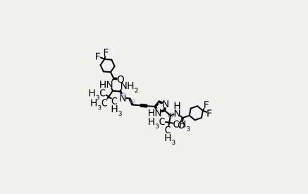 CC(C)(C)C(NC(=O)C1CCC(F)(F)CC1)/C(N)=N/C=C/C#Cc1cnc([C@@H](NC(=O)C2CCC(F)(F)CC2)C(C)(C)C)[nH]1